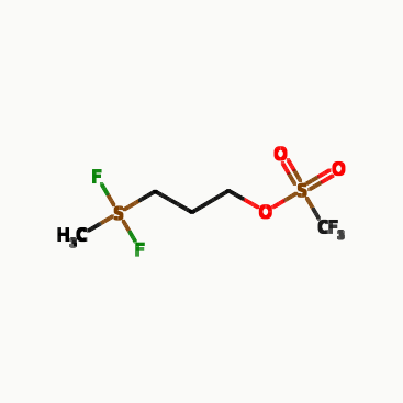 CS(F)(F)CCCOS(=O)(=O)C(F)(F)F